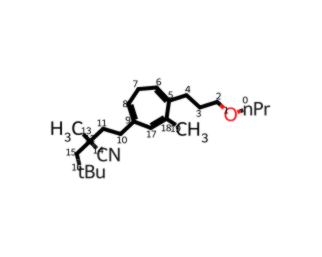 CCCOCCCC1=CCC=C(CCC(C)(C#N)CC(C)(C)C)C=C1C